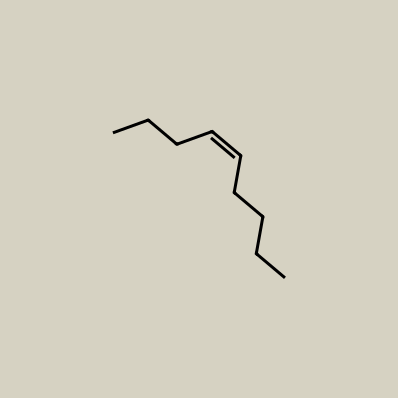 CCC/C=C\CCCC